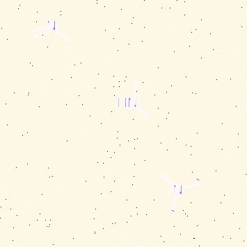 CCCC(Cc1ccccn1)NCCN(C)C